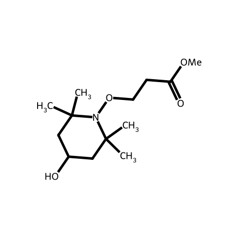 COC(=O)CCON1C(C)(C)CC(O)CC1(C)C